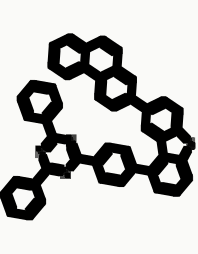 c1ccc(-c2nc(-c3ccccc3)nc(-c3ccc(-c4cccc5sc6ccc(-c7ccc8c(ccc9ccccc98)c7)cc6c45)cc3)n2)cc1